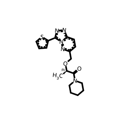 C[C@@H](OCc1ccc2nnc(-c3cccs3)n2n1)C(=O)N1CCCCC1